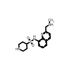 CNCc1ccc2cccc(NS(=O)(=O)C3CCNCC3)c2n1